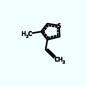 C=Cc1cscc1C